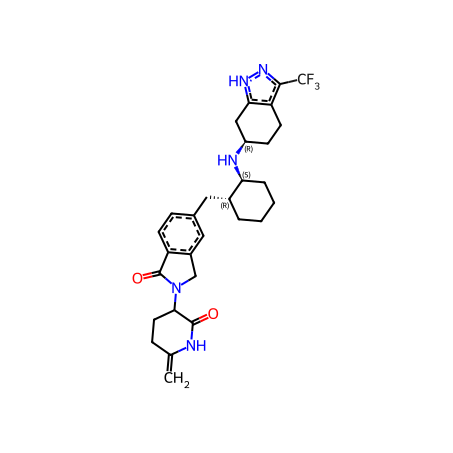 C=C1CCC(N2Cc3cc(C[C@H]4CCCC[C@@H]4N[C@@H]4CCc5c(C(F)(F)F)n[nH]c5C4)ccc3C2=O)C(=O)N1